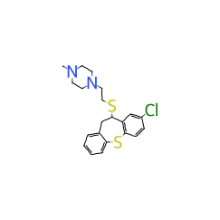 CN1CCN(CCSC2Cc3ccccc3Sc3ccc(Cl)cc32)CC1